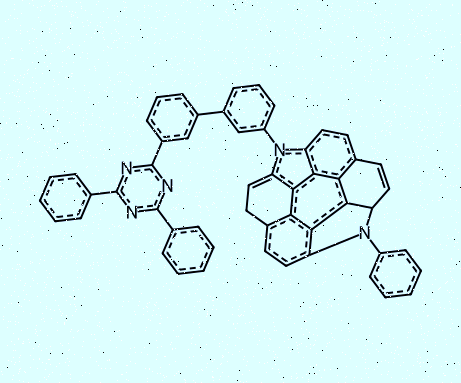 C1=CC2c3c4c(ccc5c4c4c(n(-c6cccc(-c7cccc(-c8nc(-c9ccccc9)nc(-c9ccccc9)n8)c7)c6)c6ccc1c3c46)=CC5)N2c1ccccc1